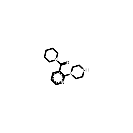 O=C(c1cccnc1N1CCNCC1)N1CCCCC1